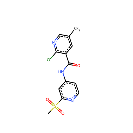 CS(=O)(=O)c1cc(NC(=O)c2cc(C(F)(F)F)cnc2Cl)ccn1